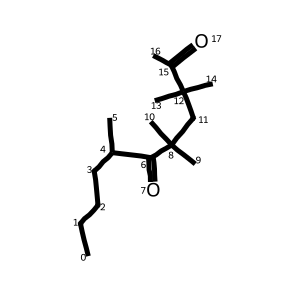 CCCCC(C)C(=O)C(C)(C)CC(C)(C)C(C)=O